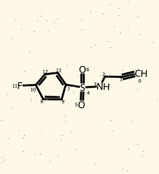 C#CCNS(=O)(=O)c1ccc(F)cc1